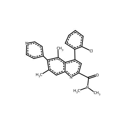 Cc1cc2nc(C(=O)N(C)C)cc(-c3ccccc3Cl)c2c(C)c1-c1ccncc1